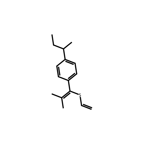 C=CSC(=C(C)C)c1ccc(C(C)CC)cc1